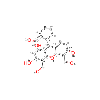 O=Cc1c2oc3c(C=O)c(O)ccc3c(-c3ccccc3C(=O)O)c-2ccc1=O